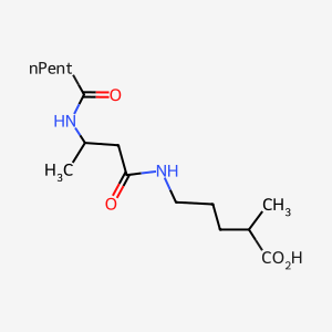 CCCCCC(=O)NC(C)CC(=O)NCCCC(C)C(=O)O